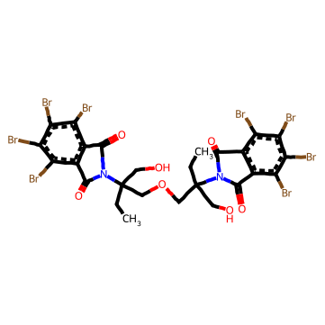 CCC(CO)(COCC(CC)(CO)N1C(=O)c2c(Br)c(Br)c(Br)c(Br)c2C1=O)N1C(=O)c2c(Br)c(Br)c(Br)c(Br)c2C1=O